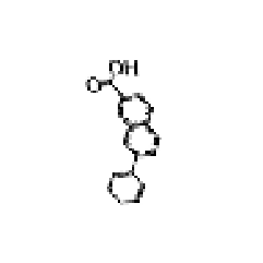 O=C(O)c1ccc2ccc(C3=CCCC=C3)cc2c1